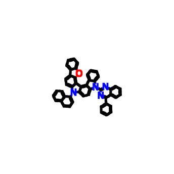 c1ccc(-c2nc(-n3c4ccccc4c4c5c6c7oc8ccccc8c7ccc6n(-c6cccc7ccccc67)c5ccc43)nc3ccccc23)cc1